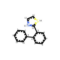 c1ccc(-c2ccccc2-c2nccs2)cc1